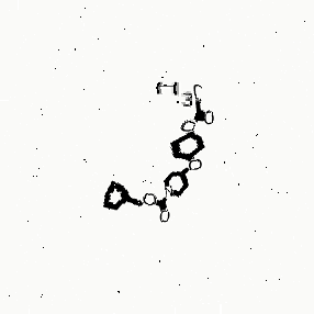 CC(=O)OC1CCC(OC2CCN(C(=O)OCc3ccccc3)CC2)CC1